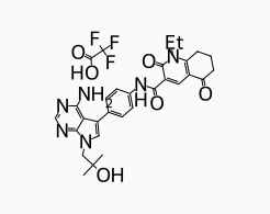 CCn1c2c(cc(C(=O)Nc3ccc(-c4cn(CC(C)(C)O)c5ncnc(N)c45)cc3)c1=O)C(=O)CCC2.O=C(O)C(F)(F)F